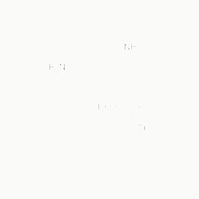 CCC(Oc1ccc2[nH]cc(CCN)c2c1)(C(=O)O)c1ccccc1